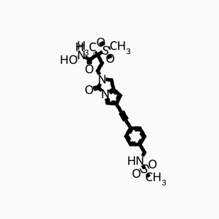 C[C@@](CCN1Cc2cc(C#Cc3ccc(CNS(C)(=O)=O)cc3)cn2C1=O)(C(=O)NO)S(C)(=O)=O